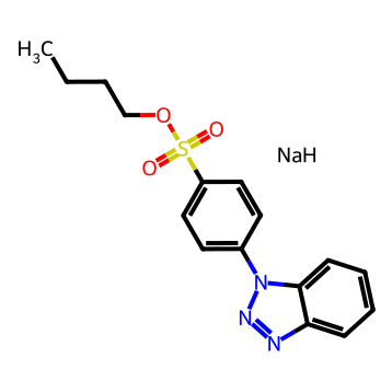 CCCCOS(=O)(=O)c1ccc(-n2nnc3ccccc32)cc1.[NaH]